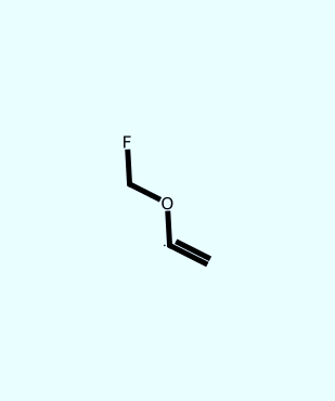 C=[C]OCF